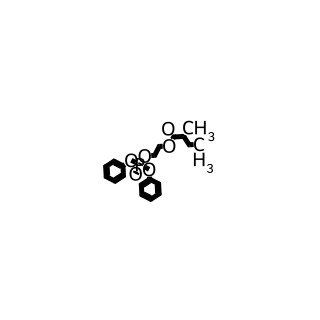 CCC(C)C(=O)OCCOP(=O)(Oc1ccccc1)Oc1ccccc1